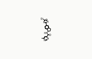 CCc1nc(-c2ccc3c(c2)CCC3NC(=O)c2cc(C)ncn2)no1